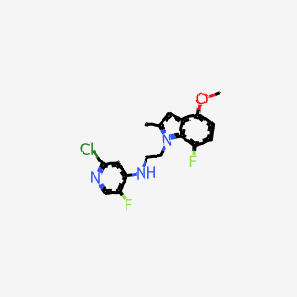 COc1ccc(F)c2c1cc(C)n2CCNc1cc(Cl)ncc1F